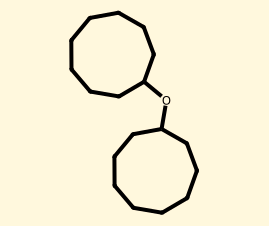 C1CCCCC(OC2CCCCCCCC2)CCC1